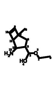 CCOC(O)C1CC2(C)C=CC2C1N